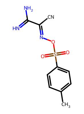 Cc1ccc(S(=O)(=O)O/N=C(\C#N)C(=N)N)cc1